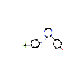 Oc1ccc(-c2nccnc2Nc2ccc(C(F)(F)F)cc2)cc1